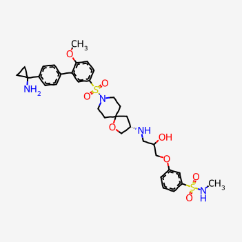 CNS(=O)(=O)c1cccc(OCC(O)CN[C@@H]2COC3(CCN(S(=O)(=O)c4ccc(OC)c(-c5ccc(C6(N)CC6)cc5)c4)CC3)C2)c1